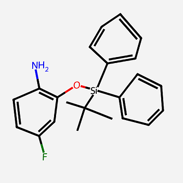 CC(C)(C)[Si](Oc1cc(F)ccc1N)(c1ccccc1)c1ccccc1